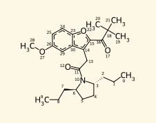 CCC[C@@H]1CC[C@@H](CCC)N1C(=O)Cc1c(C(=O)C(C)(C)C)oc2ccc(OC)cc12